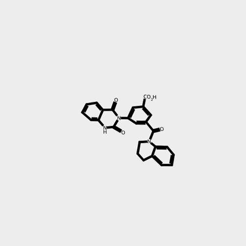 O=C(O)c1cc(C(=O)N2CCCc3ccccc32)cc(-n2c(=O)[nH]c3ccccc3c2=O)c1